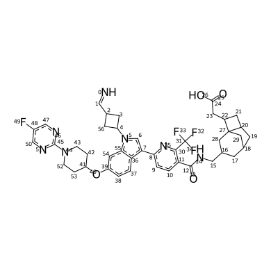 N=CC1CC(n2cc(-c3ccc(C(=O)NCC4CC5CC6CC(CC(=O)O)C6(C4)C5)c(C(F)(F)F)n3)c3ccc(OC4CCN(c5ncc(F)cn5)CC4)cc32)C1